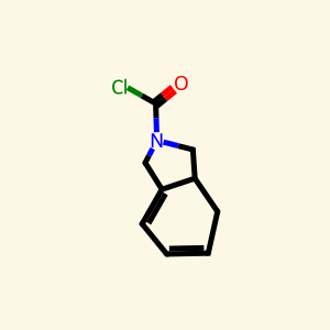 O=C(Cl)N1CC2=CC=CCC2C1